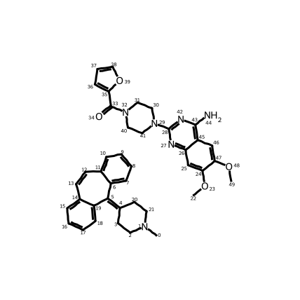 CN1CCC(=C2c3ccccc3C=Cc3ccccc32)CC1.COc1cc2nc(N3CCN(C(=O)c4ccco4)CC3)nc(N)c2cc1OC